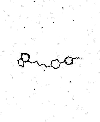 COc1ccc(N2CCN(CCCCOc3cccc4c3CCC4)CC2)cc1